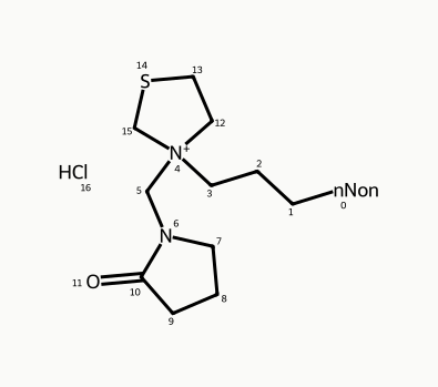 CCCCCCCCCCCC[N+]1(CN2CCCC2=O)CCSC1.Cl